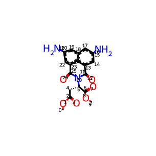 COC(=O)C[C@@H](C(=O)OC)N1C(=O)c2cc(N)cc3cc(N)cc(c23)C1=O